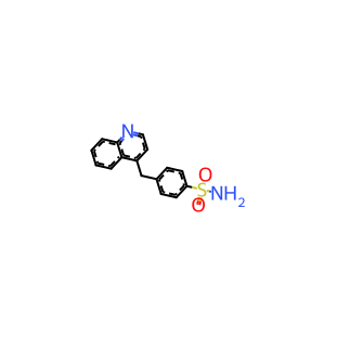 NS(=O)(=O)c1ccc(Cc2ccnc3ccccc23)cc1